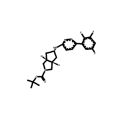 CC(C)(C)OC(=O)N1C[C@H]2C[C@H](Nc3ccc(-c4cc(F)cc(F)c4F)nn3)C[C@H]2C1